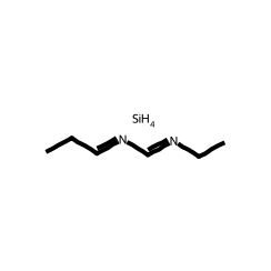 CCC=NC=NCC.[SiH4]